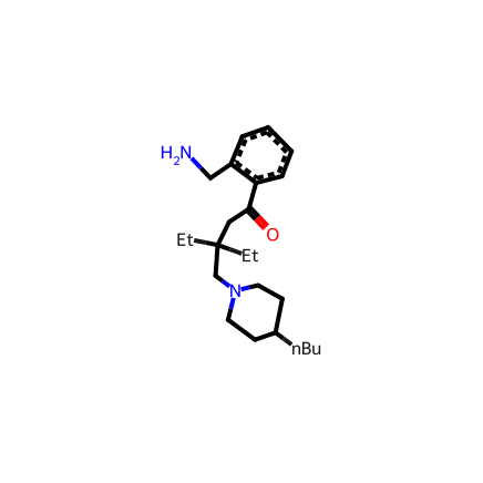 CCCCC1CCN(CC(CC)(CC)CC(=O)c2ccccc2CN)CC1